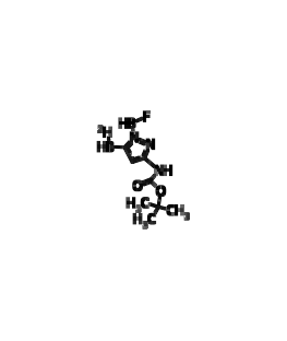 [2H]Bc1cc(NC(=O)OC(C)(C)C)nn1BF